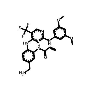 C=CC(=O)Nc1cc(CN)ccc1Nc1nc(Nc2cc(OC)cc(OC)c2)ncc1C(F)(F)F